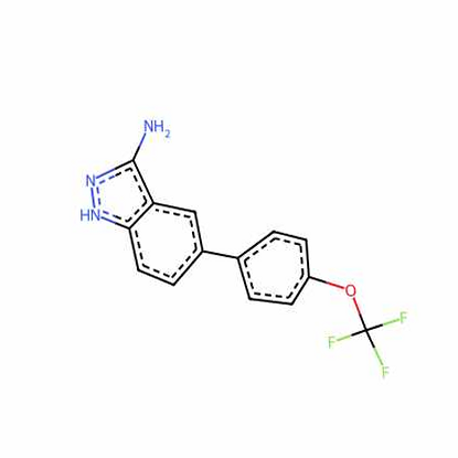 Nc1n[nH]c2ccc(-c3ccc(OC(F)(F)F)cc3)cc12